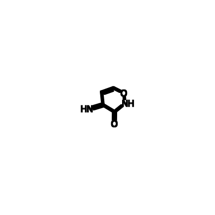 N=c1cco[nH]c1=O